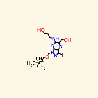 C[Si](C)(C)CCOCn1nc(I)c2nc(CO)c(NCCCO)nc21